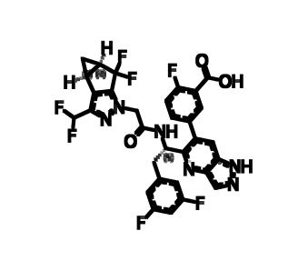 O=C(Cn1nc(C(F)F)c2c1C(F)(F)[C@@H]1C[C@H]21)N[C@@H](Cc1cc(F)cc(F)c1)c1nc2cn[nH]c2cc1-c1ccc(F)c(C(=O)O)c1